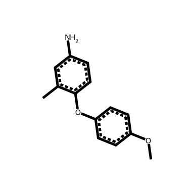 COc1ccc(Oc2ccc(N)cc2C)cc1